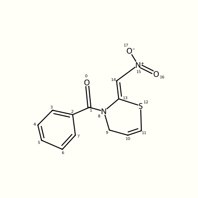 O=C(c1ccccc1)N1CC=CSC1=C[N+](=O)[O-]